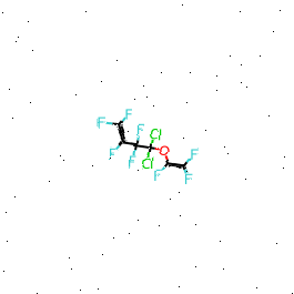 FC(F)=C(F)OC(Cl)(Cl)C(F)(F)C(F)=C(F)F